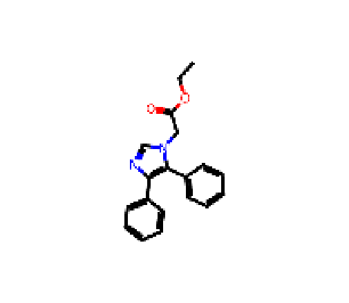 CCOC(=O)Cn1cnc(-c2ccccc2)c1-c1ccccc1